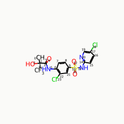 C[C@@](O)(C(=O)Nc1ccc(S(=O)(=O)Nc2ccc(Cl)cn2)cc1Cl)C(F)(F)F